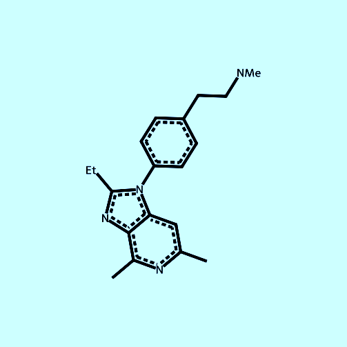 CCc1nc2c(C)nc(C)cc2n1-c1ccc(CCNC)cc1